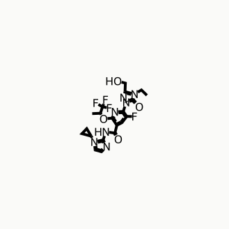 CCn1c(CO)nn(-c2nc(OC(C)C(F)(F)F)c(C(=O)Nc3nccn3C3CC3)cc2F)c1=O